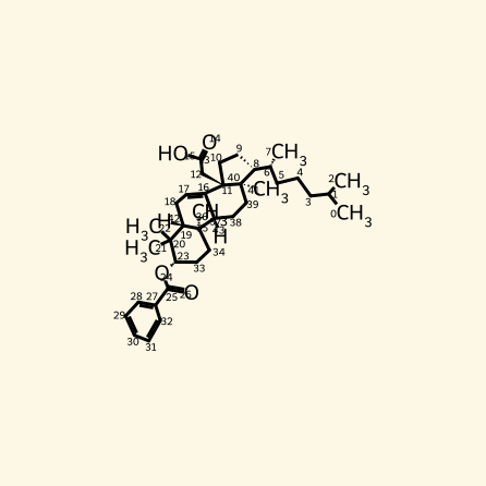 CC(C)CCC[C@@H](C)[C@H]1CC[C@@]2(CC(=O)O)C3=CC[C@H]4C(C)(C)[C@@H](OC(=O)c5ccccc5)CC[C@]4(C)[C@H]3CC[C@]12C